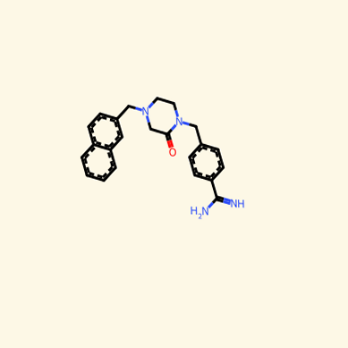 N=C(N)c1ccc(CN2CCN(Cc3ccc4ccccc4c3)CC2=O)cc1